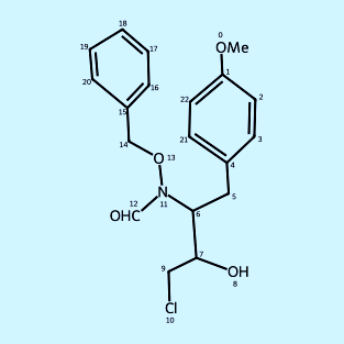 COc1ccc(CC(C(O)CCl)N(C=O)OCc2ccccc2)cc1